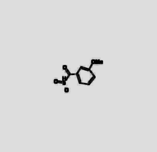 COc1cccc(C(=O)[SH](=O)=O)c1